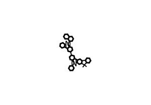 CC1(C)c2ccccc2-c2cc3c4cc(-c5ccc6c(c5)c5ccccc5n6-c5cccc6ccccc56)ccc4n(-c4ccccc4)c3cc21